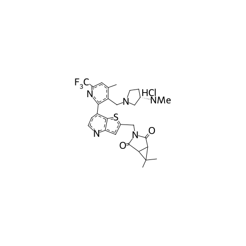 CN[C@H]1CCN(Cc2c(C)cc(C(F)(F)F)nc2-c2ccnc3cc(CN4C(=O)C5C(C4=O)C5(C)C)sc23)C1.Cl